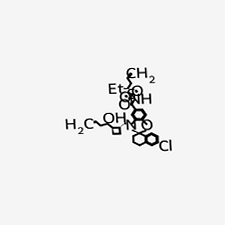 C=CC[C@H](CC)S(=O)(=O)NC(=O)c1ccc2c(c1)N(C[C@@H]1CC[C@H]1[C@@H](O)CC=C)C[C@@]1(CCCc3cc(Cl)ccc31)CO2